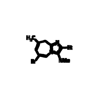 CCc1nc2n(c1NC)C=C(Br)C=C(C)C2